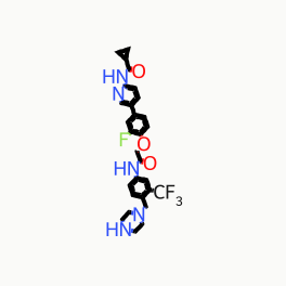 O=C(COc1ccc(-c2ccc(NC(=O)C3CC3)nc2)cc1F)Nc1ccc(CN2CCNCC2)c(C(F)(F)F)c1